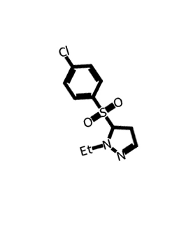 CCN1N=CCC1S(=O)(=O)c1ccc(Cl)cc1